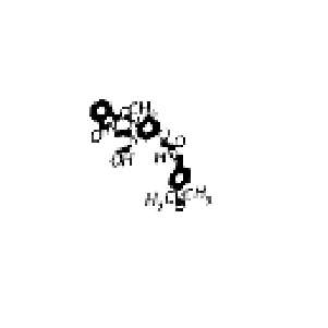 CC[n+]1c(CN2C(=O)c3ccccc3C2=O)n(CCO)c2cc(OCC(=O)NCc3ccc(P(C)(C)=O)cc3)ccc21